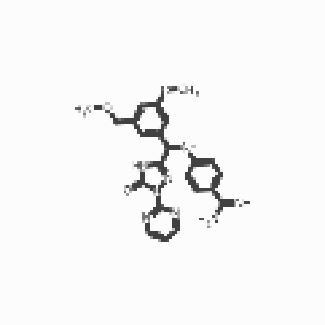 COCc1cc(OC)cc(C(Nc2ccc(C(=N)N)cc2)c2nn(-c3ncccn3)c(=O)[nH]2)c1